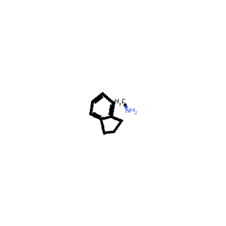 CN.c1ccc2c(c1)CCC2